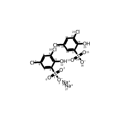 O=S(=O)([O-])c1cc(Cl)cc(Cl)c1O.O=S(=O)([O-])c1cc(Cl)cc(Cl)c1O.[Na+].[Na+]